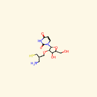 NCC(CS)COC1C(O)C(CO)OC1n1ccc(=O)[nH]c1=O